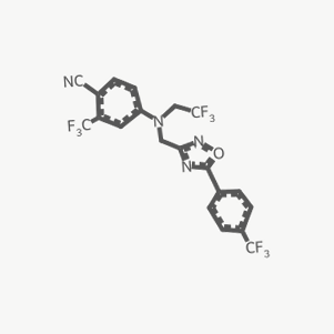 N#Cc1ccc(N(Cc2noc(-c3ccc(C(F)(F)F)cc3)n2)CC(F)(F)F)cc1C(F)(F)F